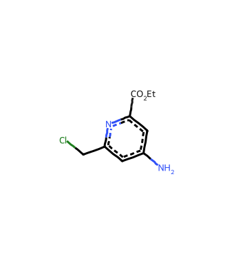 CCOC(=O)c1cc(N)cc(CCl)n1